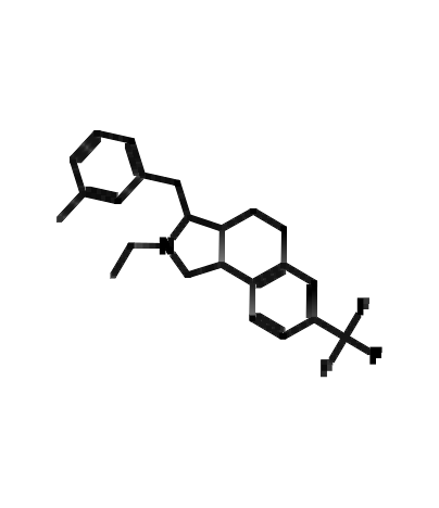 CCN1CC2c3ccc(C(F)(F)F)cc3CCC2C1Cc1cccc(C)c1